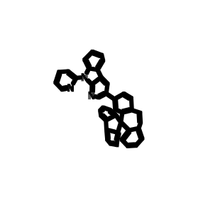 C1=Cc2ccc(-c3cnc4c(c3)c3ccccc3n4-c3ccccn3)cc2C2(c3ccccc31)c1ccccc1-c1ccccc12